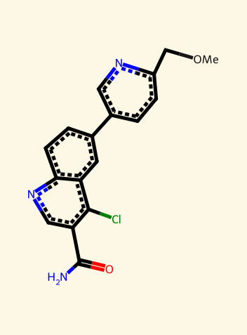 COCc1ccc(-c2ccc3ncc(C(N)=O)c(Cl)c3c2)cn1